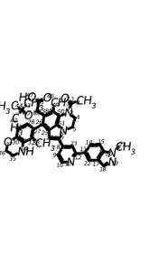 CC(=O)N1CCn2c(-c3ccnc(-c4ccc5c(cnn5C)c4)c3)cc3c(-c4ccc5c(c4C)NCCO5)c([C@H](OC(C)(C)C)C(=O)O)c(C)c1c32